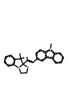 C/C(=C\c1ccc2c(c1)c1ccccc1n2C)C12OCCN1c1ccccc1C2(C)C